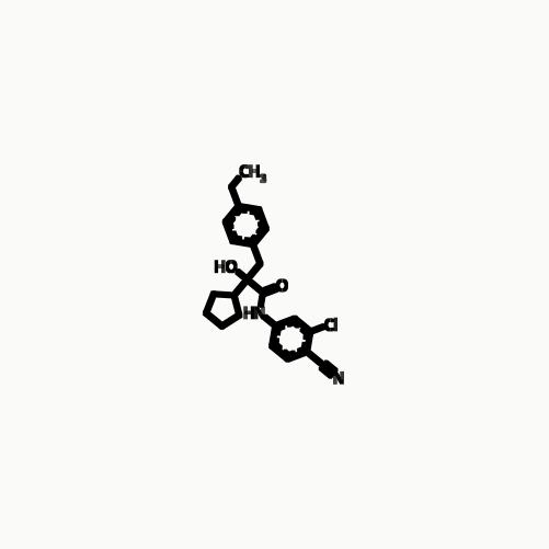 CCc1ccc(CC(O)(C(=O)Nc2ccc(C#N)c(Cl)c2)C2CCCC2)cc1